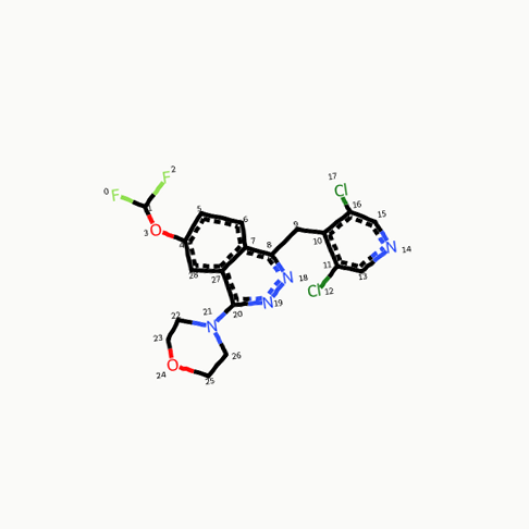 FC(F)Oc1ccc2c(Cc3c(Cl)cncc3Cl)nnc(N3CCOCC3)c2c1